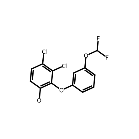 [O]c1ccc(Cl)c(Cl)c1Oc1cccc(OC(F)F)c1